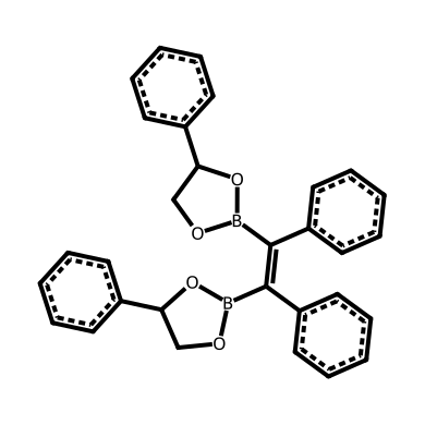 c1ccc(C(B2OCC(c3ccccc3)O2)=C(B2OCC(c3ccccc3)O2)c2ccccc2)cc1